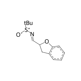 CC(C)(C)[S+]([O-])/N=C/C1Cc2ccccc2O1